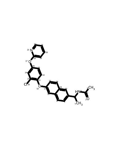 CC(=O)NC(C)c1ccc2cc(Oc3ccc(Oc4ccccn4)cc3Cl)ccc2c1